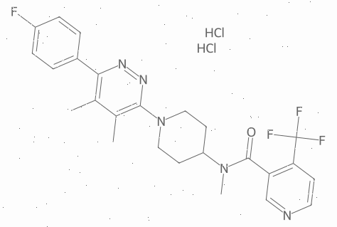 Cc1c(-c2ccc(F)cc2)nnc(N2CCC(N(C)C(=O)c3cnccc3C(F)(F)F)CC2)c1C.Cl.Cl